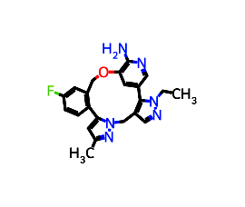 CCn1ncc2c1-c1cnc(N)c(c1)OCc1cc(F)ccc1-c1cc(C)nn1C2